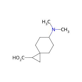 CN(C)C1CCC2(CC1)CC2C(=O)O